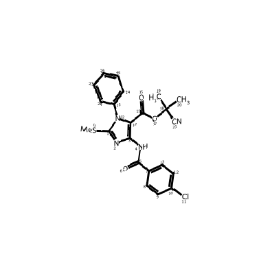 CSc1nc(NC(=O)c2ccc(Cl)cc2)c(C(=O)OC(C)(C)C#N)n1-c1ccccc1